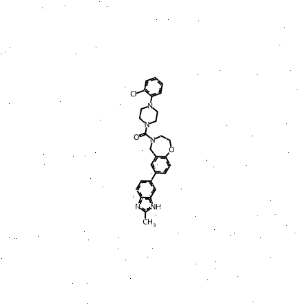 Cc1nc2ccc(-c3ccc4c(c3)CN(C(=O)N3CCN(c5ccccc5Cl)CC3)CCO4)cc2[nH]1